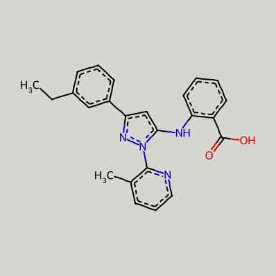 CCc1cccc(-c2cc(Nc3ccccc3C(=O)O)n(-c3ncccc3C)n2)c1